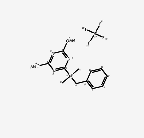 COc1nc(OC)nc([N+](C)(C)Cc2ccccc2)n1.F[B-](F)(F)F